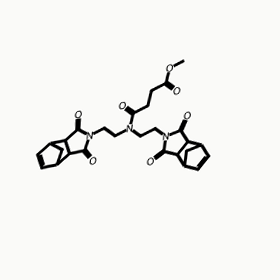 COC(=O)CCC(=O)N(CCN1C(=O)C2C3C=CC(C3)C2C1=O)CCN1C(=O)C2C3C=CC(C3)C2C1=O